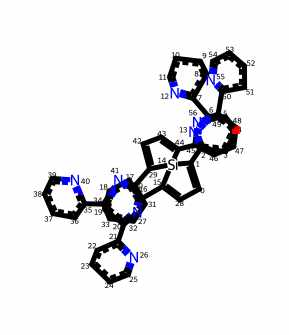 C1=C(c2cccc(-c3ccccn3)n2)[Si]2(C(c3cccc(-c4ccccn4)n3)=C1)C(c1cccc(-c3ccccn3)n1)=CC=C2c1cccc(-c2ccccn2)n1